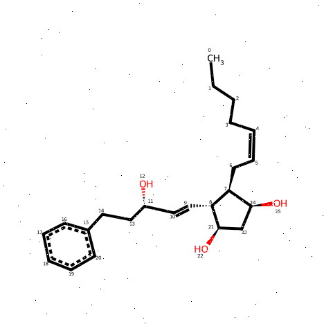 CCCC/C=C\C[C@@H]1[C@@H](/C=C/[C@@H](O)CCc2ccccc2)[C@H](O)C[C@@H]1O